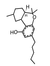 CCCCCc1cc(O)c2c(c1)OC(C)(C)[C@@H]1CCC(C)CC21